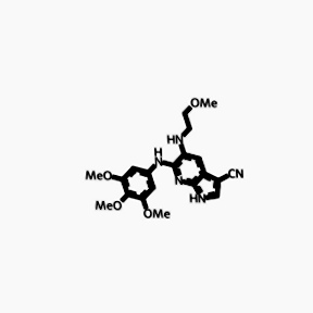 COCCNc1cc2c(C#N)c[nH]c2nc1Nc1cc(OC)c(OC)c(OC)c1